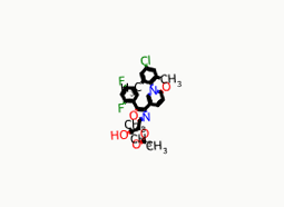 CC(=O)O[C@@H](c1nc(-c2ccc(=O)n(-c3c(C)cc(Cl)cc3C)c2)c(-c2ccc(F)cc2F)o1)C(C)(C)O